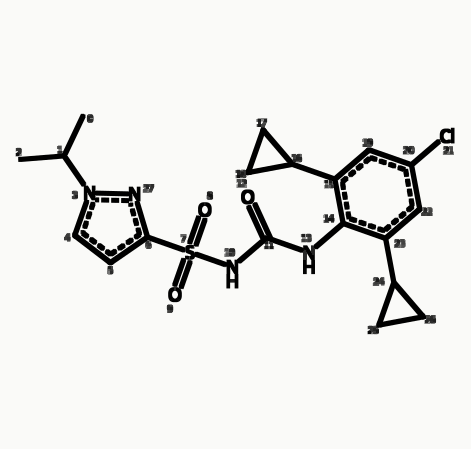 CC(C)n1ccc(S(=O)(=O)NC(=O)Nc2c(C3CC3)cc(Cl)cc2C2CC2)n1